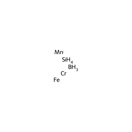 B.[Cr].[Fe].[Mn].[SiH4]